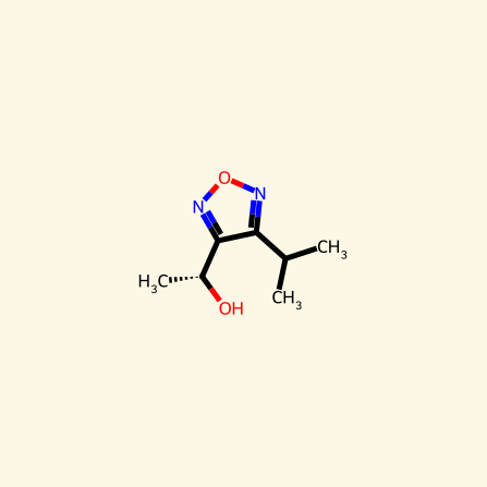 CC(C)c1nonc1[C@@H](C)O